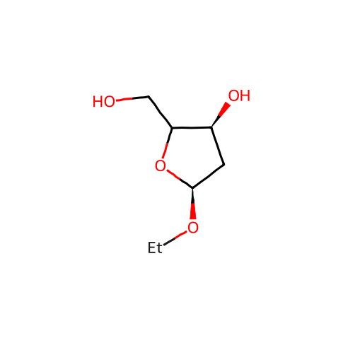 CCO[C@@H]1C[C@H](O)C(CO)O1